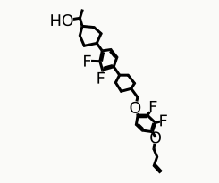 C=CCCOc1ccc(OCC2CCC(c3ccc(C4CCC(C(C)O)CC4)c(F)c3F)CC2)c(F)c1F